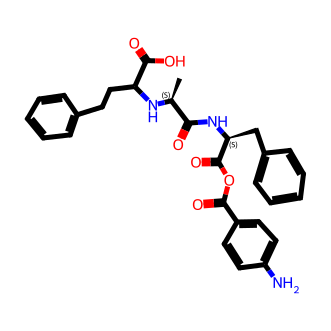 C[C@H](NC(CCc1ccccc1)C(=O)O)C(=O)N[C@@H](Cc1ccccc1)C(=O)OC(=O)c1ccc(N)cc1